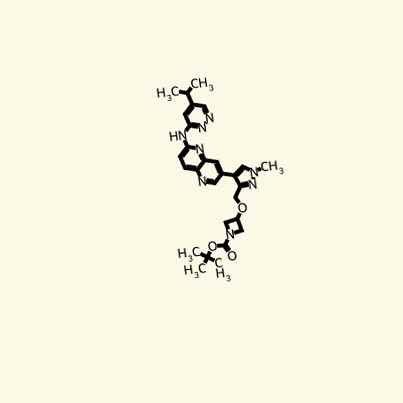 CC(C)c1cnnc(Nc2ccc3ncc(-c4cn(C)nc4COC4CN(C(=O)OC(C)(C)C)C4)cc3n2)c1